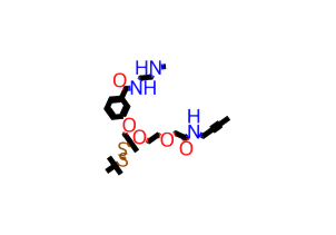 CC#CCNC(=O)COCCOC(C)(COc1cccc(C(=O)NCCNC)c1)SSC(C)(C)C